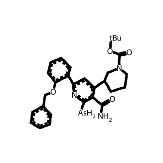 CC(C)(C)OC(=O)N1CCCC(c2cc(-c3ccccc3OCc3ccccc3)nc([AsH2])c2C(N)=O)C1